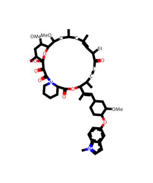 CCC1/C=C(\C)CC(C)CC(OC)C2OC(O)(C(=O)C(=O)N3CCCCC3C(=O)OC(C(C)=CC3CCC(Oc4ccc5c(ccn5C)c4)C(OC)C3)C(C)CCC1=O)C(C)CC2OC